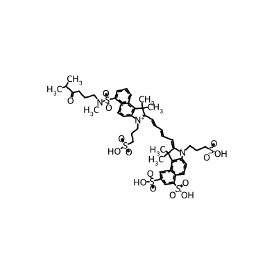 CC(C)C(=O)CCCN(C)S(=O)(=O)c1cccc2c3c(ccc12)[N+](CCCS(=O)(=O)O)=C(/C=C/C=C/C=C1/N(CCCS(=O)(=O)O)c2ccc4c(S(=O)(=O)O)cc(S(=O)(=O)O)cc4c2C1(C)C)C3(C)C